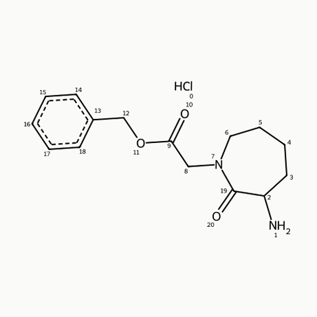 Cl.NC1CCCCN(CC(=O)OCc2ccccc2)C1=O